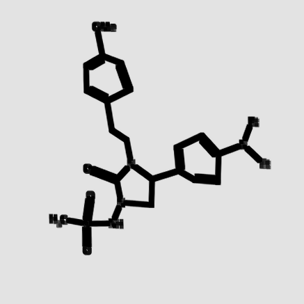 CCN(CC)c1ccc(C2CN(NS(C)(=O)=O)C(=O)N2CCc2ccc(OC)cc2)cc1